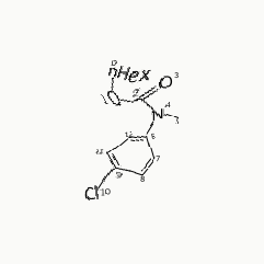 [CH2]CCCCCOC(=O)N(C)c1ccc(Cl)cc1